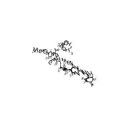 CNc1nc(Nc2ccc(F)cc2)ncc1C#CCCCNC(=O)[C@@H]1C[C@@H](OC)CN1C(=O)/C=C/CN(C)C